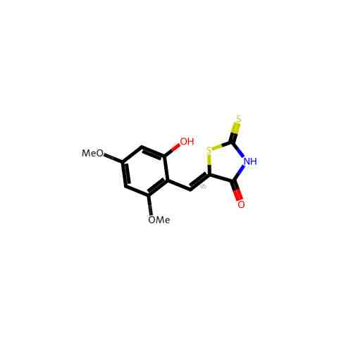 COc1cc(O)c(/C=C2\SC(=S)NC2=O)c(OC)c1